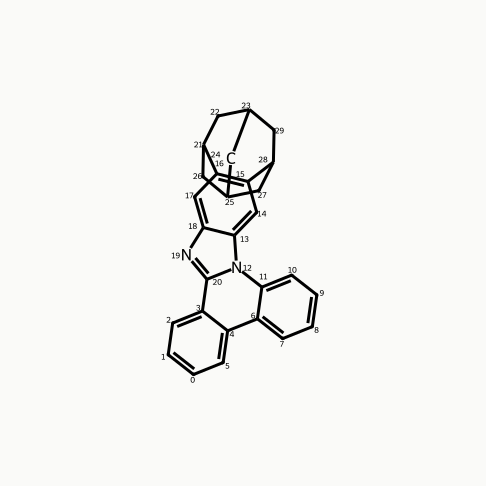 c1ccc2c(c1)c1ccccc1n1c3cc4c(cc3nc21)C1CC2CC(C1)CC4C2